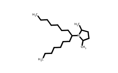 CCCCCCCC(CCCCCCC)N1C(C)CCC1C